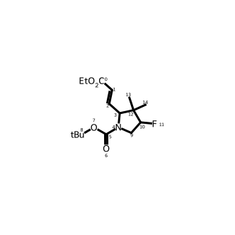 CCOC(=O)C=CC1N(C(=O)OC(C)(C)C)CC(F)C1(C)C